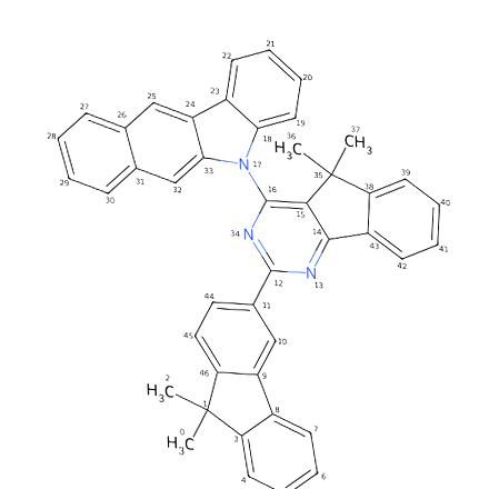 CC1(C)c2ccccc2-c2cc(-c3nc4c(c(-n5c6ccccc6c6cc7ccccc7cc65)n3)C(C)(C)c3ccccc3-4)ccc21